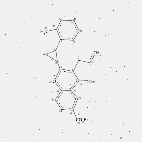 C=CCc1c(C2CC2c2ccccc2C)oc2ccc(C(=O)OCC)cc2c1=O